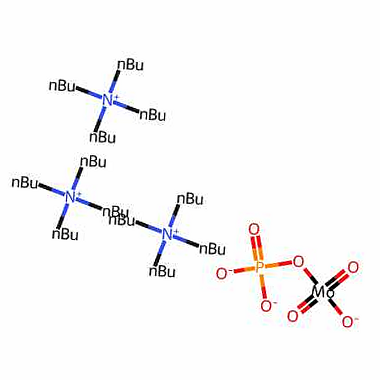 CCCC[N+](CCCC)(CCCC)CCCC.CCCC[N+](CCCC)(CCCC)CCCC.CCCC[N+](CCCC)(CCCC)CCCC.O=P([O-])([O-])[O][Mo](=[O])(=[O])[O-]